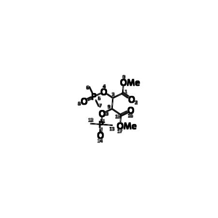 COC(=O)C(OP(C)(C)=O)C(OP(C)(C)=O)C(=O)OC